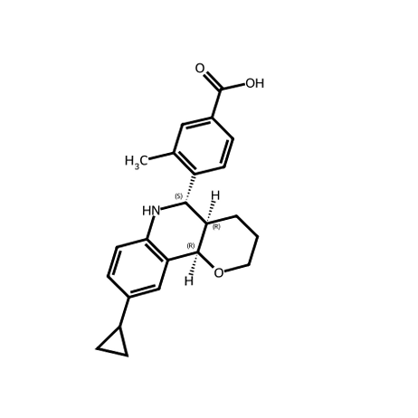 Cc1cc(C(=O)O)ccc1[C@H]1Nc2ccc(C3CC3)cc2[C@@H]2OCCC[C@H]12